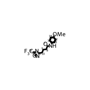 COc1ccc(NC(=O)CCCc2noc(C(F)(F)F)n2)cc1